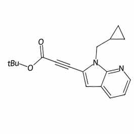 CC(C)(C)OC(=O)C#Cc1cc2cccnc2n1CC1CC1